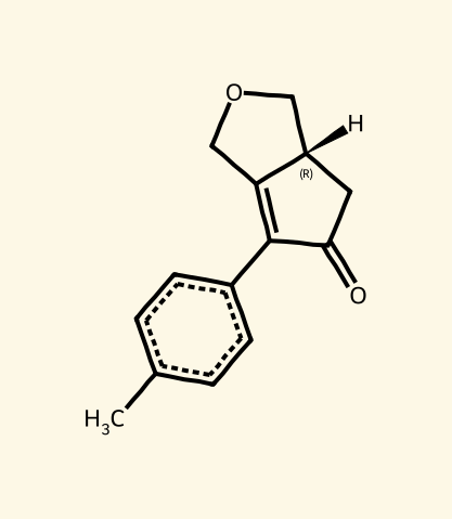 Cc1ccc(C2=C3COC[C@@H]3CC2=O)cc1